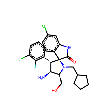 N[C@@H]1[C@H](CO)N(CC2CCCC2)[C@@]2(C(=O)Nc3cc(Cl)ccc32)[C@H]1c1cccc(Cl)c1F